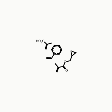 C=C(C)C(=O)O.C=C(C)C(=O)OCC1CO1.C=Cc1ccccc1